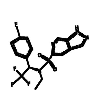 CCN([C@H](c1ccc(F)cc1)C(F)(F)F)S(=O)(=O)c1cc2cn[nH]c2cn1